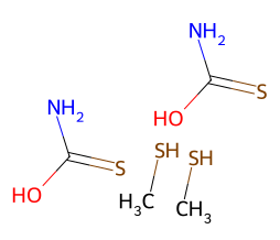 CS.CS.NC(O)=S.NC(O)=S